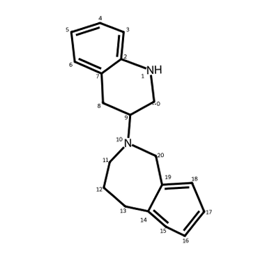 [C]1Nc2ccccc2CC1N1CCCc2ccccc2C1